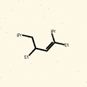 [CH2]CC(=CC(CC)CC([CH2])C)C(C)C